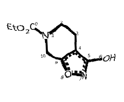 CCOC(=O)N1CCc2c(O)noc2C1